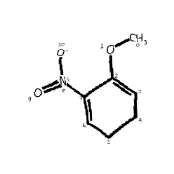 COC1=CC[CH]C=C1[N+](=O)[O-]